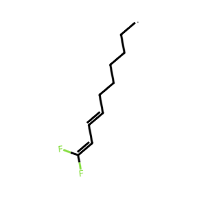 [CH2]CCCCC/C=C/C=C(F)F